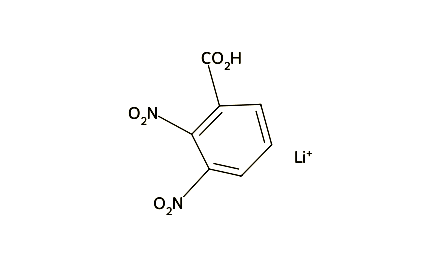 O=C(O)c1cccc([N+](=O)[O-])c1[N+](=O)[O-].[Li+]